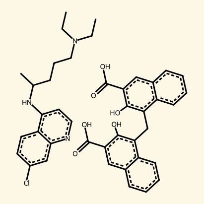 CCN(CC)CCCC(C)Nc1ccnc2cc(Cl)ccc12.O=C(O)c1cc2ccccc2c(Cc2c(O)c(C(=O)O)cc3ccccc23)c1O